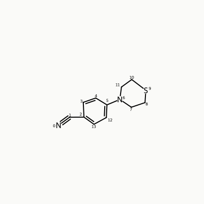 N#Cc1ccc(N2CCSCC2)cc1